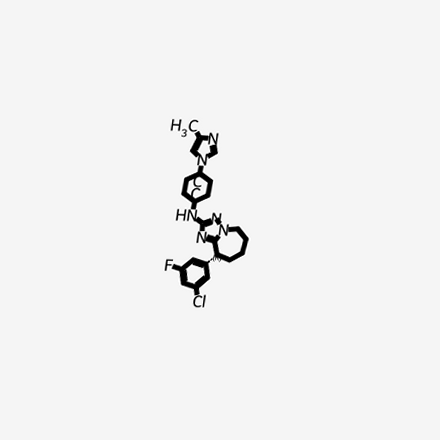 Cc1cn(C23CCC(Nc4nc5n(n4)CCCC[C@@H]5c4cc(F)cc(Cl)c4)(CC2)CC3)cn1